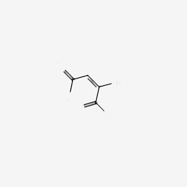 CC(=CC(=O)Cl)C(=O)Cl